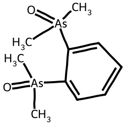 C[As](C)(=O)c1ccccc1[As](C)(C)=O